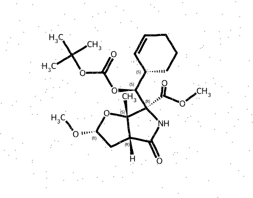 COC(=O)[C@]1([C@@H](OC(=O)OC(C)(C)C)[C@@H]2C=CCCC2)NC(=O)[C@@H]2C[C@H](OC)O[C@@]21C